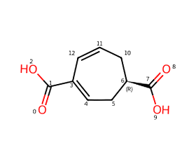 O=C(O)C1=CC[C@H](C(=O)O)CC=C1